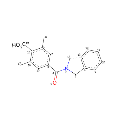 Cc1cc(C(=O)N2Cc3ccccc3C2)cc(C)c1C(=O)O